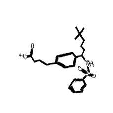 CC(C)(C)CCCC(NS(=O)(=O)c1ccccc1)c1ccc(CCCC(=O)O)cc1